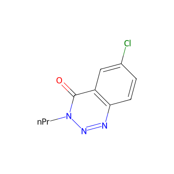 CCCn1nnc2ccc(Cl)cc2c1=O